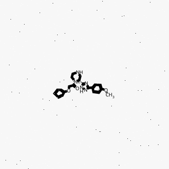 COc1ccc(-c2n[nH]c([C@H]3CNCCN3C(=O)COc3ccccc3)n2)cc1